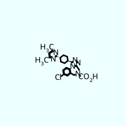 Cc1cc(C)nc([C@H]2CC[C@H](c3nnc4n3-c3ccc(Cl)cc3CN(C(=O)O)C4)CC2)n1